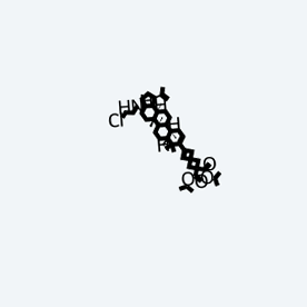 C=C(C)[C@@H]1CC[C@]2(NCCCl)CC[C@]3(C)[C@H](CC[C@@H]4[C@@]5(C)CC=C(C6=CC7(C6)CC(C(=O)OC(C)C)(C(=O)OC(C)C)C7)C(C)(C)[C@@H]5CC[C@]43C)[C@@H]12